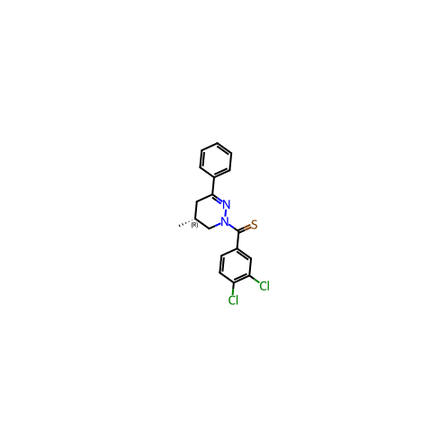 C[C@@H]1CC(c2ccccc2)=NN(C(=S)c2ccc(Cl)c(Cl)c2)C1